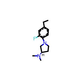 CCc1ccc(N2CC[C@@H](N(C)C)C2)c(F)c1